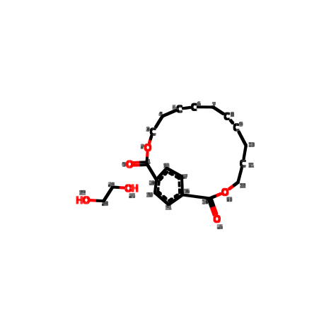 O=C1OCCCCCCCCCCOC(=O)c2ccc1cc2.OCCO